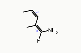 C/C=C\C(C)=C(/N)F